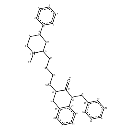 CN1CCN(c2ccccc2)CC1CCCOC1Cc2ccccc2N(Cc2ccccc2)C1=O